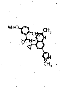 COc1ccc(C)c(C(=O)NC2(c3cc(-c4cnn(C)c4)cc4nc(C)ccc34)CC2)c1